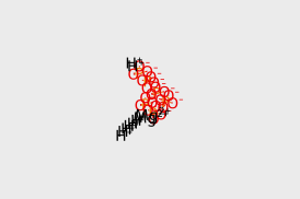 O=P([O-])([O-])OP(=O)([O-])[O-].O=P([O-])([O-])OP(=O)([O-])[O-].O=P([O-])([O-])OP(=O)([O-])[O-].[H+].[H+].[H+].[H+].[H+].[H+].[H+].[H+].[Mg+2].[Mg+2]